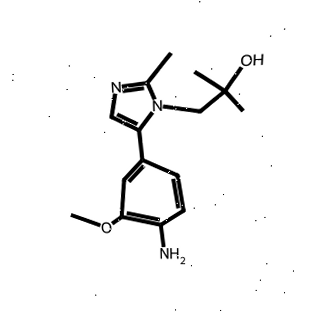 COc1cc(-c2cnc(C)n2CC(C)(C)O)ccc1N